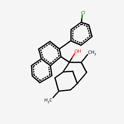 CC1CC2CC(C)C(O)(c3c(-c4cccc(Cl)c4)ccc4ccccc34)C(C1)C2